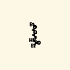 CCOCOCCNC(=O)CC